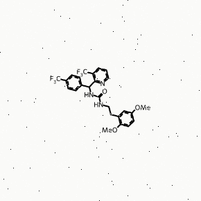 COc1ccc(OC)c(CCNC(=O)NC(c2ccc(C(F)(F)F)cc2)c2ncccc2C(F)(F)F)c1